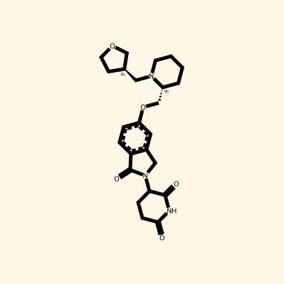 O=C1CCC(N2Cc3cc(OC[C@H]4CCCCN4C[C@H]4CCOC4)ccc3C2=O)C(=O)N1